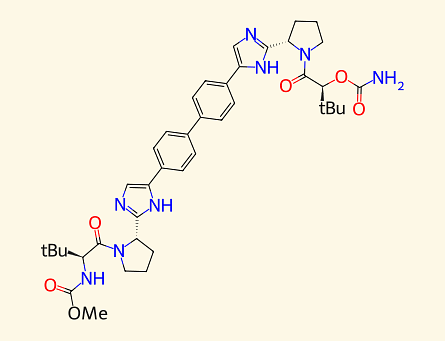 COC(=O)N[C@H](C(=O)N1CCC[C@H]1c1ncc(-c2ccc(-c3ccc(-c4cnc([C@@H]5CCCN5C(=O)[C@@H](OC(N)=O)C(C)(C)C)[nH]4)cc3)cc2)[nH]1)C(C)(C)C